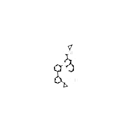 O=C(NC1CC1)c1cn(-c2cccc(-c3cccc(C4(C(=O)O)CC4)c3)c2)c2ncccc2c1=O